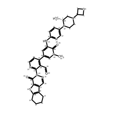 C[C@@H]1CN(C2COC2)CCN1c1ccc(Nc2cc(-c3ccnc(-n4ncc5c6c(sc5c4=O)CCCC6)c3C=O)cn(C)c2=O)nc1